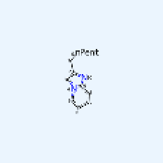 CCCCCCc1cn2ccccc2n1